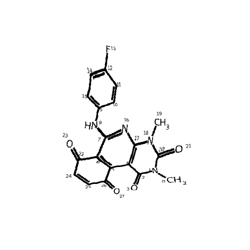 Cn1c(=O)c2c3c(c(Nc4ccc(F)cc4)nc2n(C)c1=O)C(=O)C=CC3=O